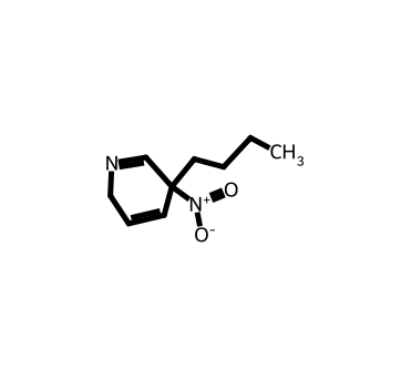 CCCCC1([N+](=O)[O-])C=CCN=C1